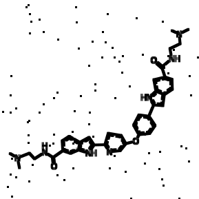 CN(C)CCNC(=O)c1ccc2cc(-c3ccc(Oc4ccc(-c5cc6ccc(C(=O)NCCN(C)C)cc6[nH]5)nc4)cc3)[nH]c2c1